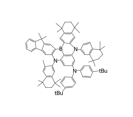 Cc1cc2c(cc1N1c3cc4c(cc3B3c5cc6c(cc5N(c5ccc7c(c5)C(C)(C)CCC7(C)C)c5cc(N(c7ccc(C(C)(C)C)cc7)c7ccc(C(C)(C)C)cc7)cc1c53)C(C)(C)CCC6(C)C)C(C)(C)c1ccccc1-4)C(C)(C)CCC2(C)C